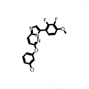 COc1ccc(-c2cnc3ccc(Oc4cccc(Cl)c4)nn23)c(F)c1F